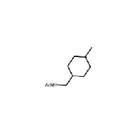 CC(=O)NCC1CCC(C)CC1